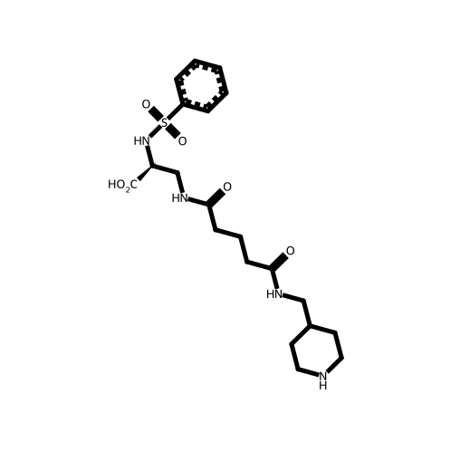 O=C(CCCC(=O)NC[C@H](NS(=O)(=O)c1ccccc1)C(=O)O)NCC1CCNCC1